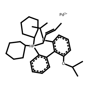 CC=CC[PH](c1ccccc1-c1c(OC(C)C)cccc1OC(C)C)(C1CCCCC1)C1CCCCC1.[Pd+2]